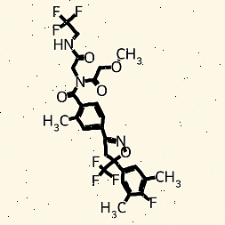 COCC(=O)N(CC(=O)NCC(F)(F)F)C(=O)c1ccc(C2=NOC(c3cc(C)c(F)c(C)c3)(C(F)(F)F)C2)cc1C